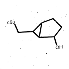 CCCCCC1C2CCC(O)C12